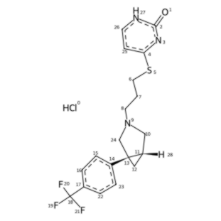 Cl.O=c1nc(SCCCN2C[C@@H]3C[C@]3(c3ccc(C(F)(F)F)cc3)C2)cc[nH]1